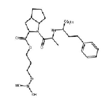 CCOC(=O)C(CCc1ccccc1)NC(C)C(=O)N1C(C(=O)OCCCON(O)O)CC2CCCC21